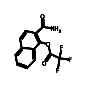 NC(=O)c1ccc2ccccc2c1OC(=O)C(F)(F)F